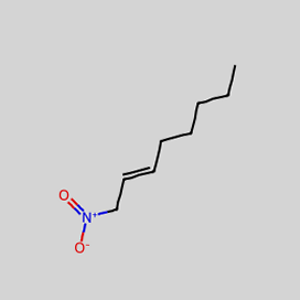 CCCCC/C=C/C[N+](=O)[O-]